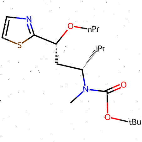 CCCO[C@H](C[C@H](C(C)C)N(C)C(=O)OC(C)(C)C)c1nccs1